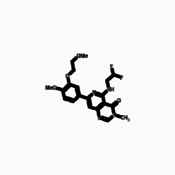 COCCOc1cc(-c2cc3ncn(C)c(=O)c3c(NCC(F)F)n2)ccc1OC